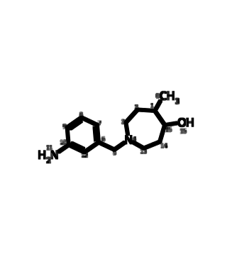 CC1CCN(Cc2cccc(N)c2)CCC1O